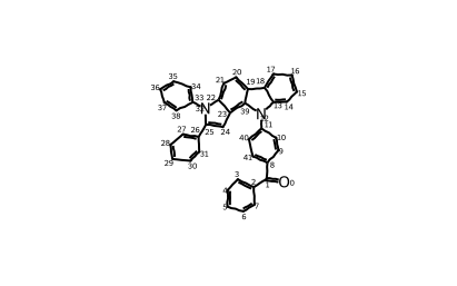 O=C(c1ccccc1)c1ccc(-n2c3ccccc3c3ccc4c(cc(-c5ccccc5)n4-c4ccccc4)c32)cc1